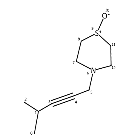 CC(C)C#CCN1CC[S+]([O-])CC1